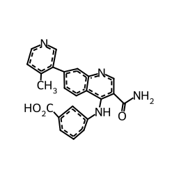 Cc1ccncc1-c1ccc2c(Nc3cccc(C(=O)O)c3)c(C(N)=O)cnc2c1